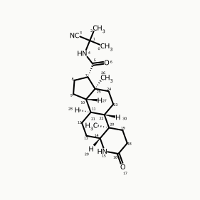 CC(C)(C#N)NC(=O)[C@H]1CC[C@H]2[C@@H]3CC[C@H]4NC(=O)CC[C@]4(C)[C@H]3CC[C@]12C